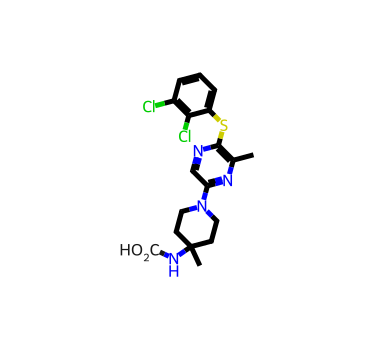 Cc1nc(N2CCC(C)(NC(=O)O)CC2)cnc1Sc1cccc(Cl)c1Cl